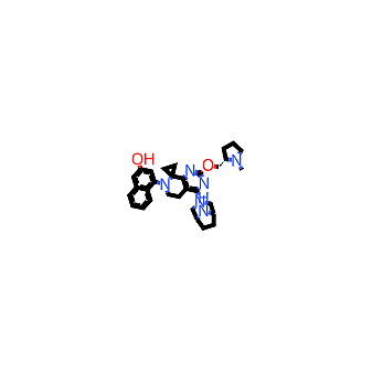 CN1CCC[C@H]1COc1nc(N2CC3CCC(C2)N3)c2c(n1)C1(CC1)N(c1cc(O)cc3ccccc13)CC2